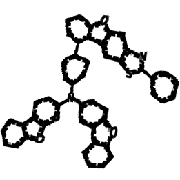 c1ccc(-c2nc3cc4oc5cccc(-c6ccc(N(c7ccc8c(c7)oc7ccccc78)c7ccc8oc9ccccc9c8c7)cc6)c5c4cc3s2)cc1